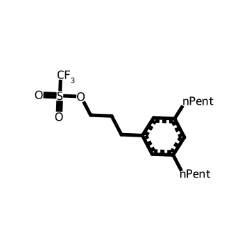 CCCCCc1cc(CCCCC)cc(CCCOS(=O)(=O)C(F)(F)F)c1